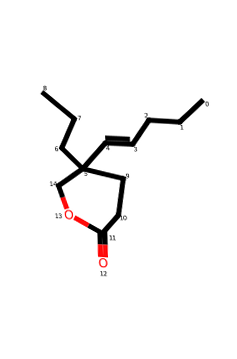 CCCC=CC1(CCC)CCC(=O)OC1